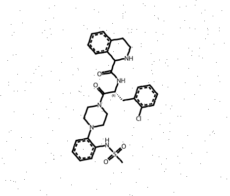 CS(=O)(=O)Nc1ccccc1N1CCN(C(=O)[C@@H](Cc2ccccc2Cl)NC(=O)C2N[CH]Cc3ccccc32)CC1